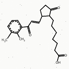 Cc1cccc(C(=O)C=CC2CCC(=O)C2CCCCCCC(=O)O)c1C